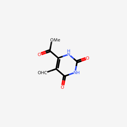 COC(=O)c1[nH]c(=O)[nH]c(=O)c1C=O